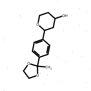 CC1(c2ccc(C3CC(O)CCO3)cc2)OCCO1